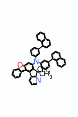 CC1(C)c2ncccc2-c2c1c(N(c1cccc(-c3cccc4ccccc34)c1)c1cccc(-c3cccc4ccccc34)c1)cc1oc3ccccc3c21